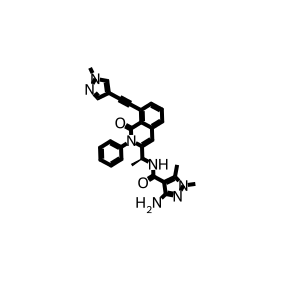 Cc1c(C(=O)N[C@@H](C)c2cc3cccc(C#Cc4cnn(C)c4)c3c(=O)n2-c2ccccc2)c(N)nn1C